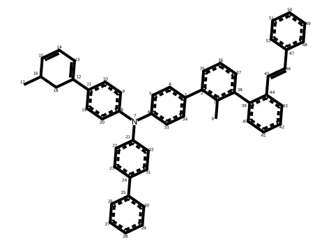 Cc1c(-c2ccc(N(c3ccc(C4=CC=CC(C)C4)cc3)c3ccc(-c4ccccc4)cc3)cc2)cccc1-c1ccccc1/C=C/c1ccccc1